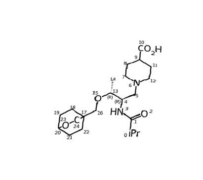 CC(C)C(=O)N[C@H](CN1CCC(C(=O)O)CC1)[C@@H](C)OCC12CCC(CC1)OC2